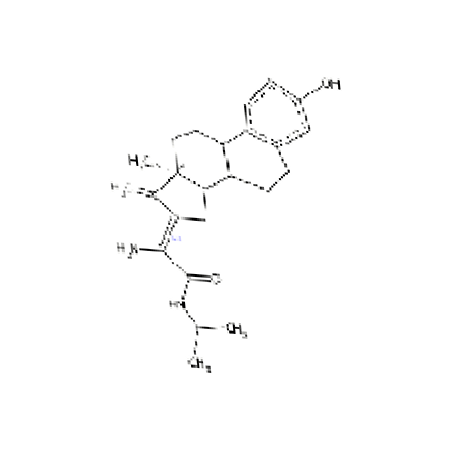 C=C1/C(=C(\N)C(=O)NC(C)C)CC2C3CCc4cc(O)ccc4C3CC[C@]12C